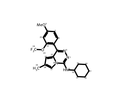 COc1ccc(-c2nnc(NC3CCCCC3)n3cc(C)cc23)c(OC(F)(F)F)c1